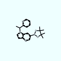 CC(c1ccccn1)n1ccc2ncc(B3OC(C)(C)C(C)(C)O3)cc21